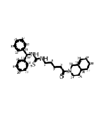 O=C(CCCCNC(=S)NC(c1ccccc1)c1ccccc1)N1CCC2CCCC=C2C1